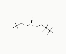 O=S(OCC(F)(F)F)OCC(F)(F)C(F)(F)F